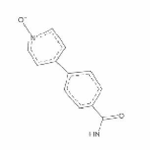 [NH]C(=O)c1ccc(-c2cc[n+]([O-])cc2)cc1